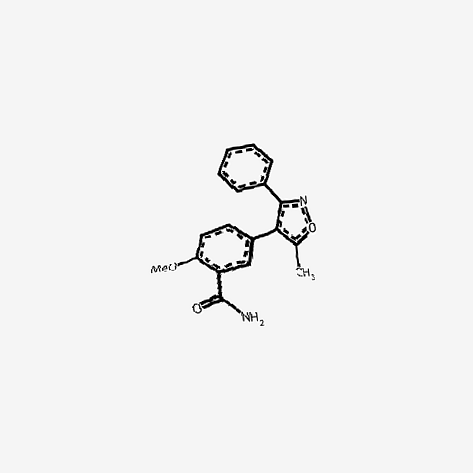 COc1ccc(-c2c(-c3ccccc3)noc2C)cc1C(N)=O